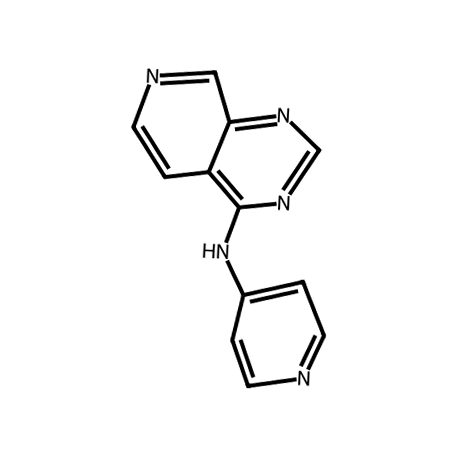 c1cc(Nc2ncnc3cnccc23)ccn1